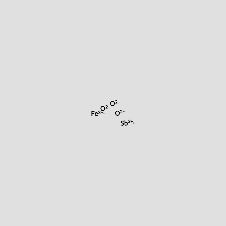 [Fe+3].[O-2].[O-2].[O-2].[Sb+3]